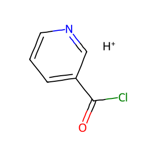 O=C(Cl)c1cccnc1.[H+]